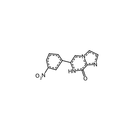 O=c1[nH]c(-c2cccc([N+](=O)[O-])c2)cn2ccnc12